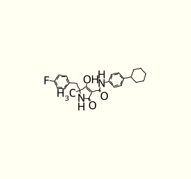 CC1(Cc2ccc(F)cc2)NC(=O)C(C(=O)Nc2ccc(C3CCCCC3)cc2)=C1O